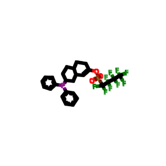 O=S(=O)(OC1=CC2CC(P(c3ccccc3)c3ccccc3)CCC2CC1)C(F)(F)C(F)(F)C(F)(F)C(F)(F)F